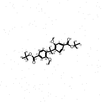 COc1cc(C(=O)OC(C)(C)C)ccc1C(C)(C)c1ccc(C(=O)OC(C)(C)C)cc1OC